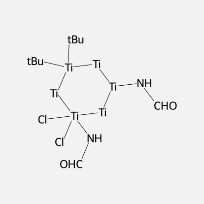 C[C](C)(C)[Ti]1([C](C)(C)C)[Ti][Ti]([NH]C=O)[Ti][Ti]([Cl])([Cl])([NH]C=O)[Ti]1